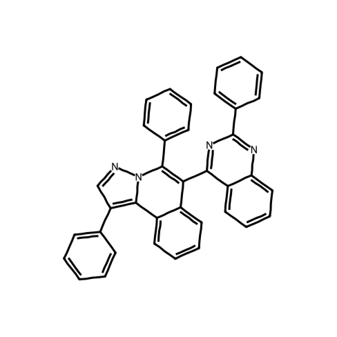 c1ccc(-c2nc(-c3c(-c4ccccc4)n4ncc(-c5ccccc5)c4c4ccccc34)c3ccccc3n2)cc1